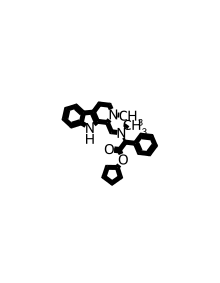 CN1CCc2c([nH]c3ccccc23)C1CN(C)[C@H](C(=O)OC1CCCC1)c1ccccc1